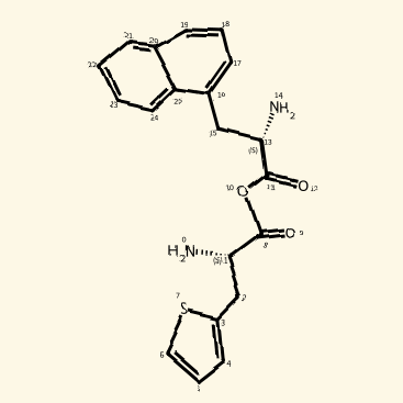 N[C@@H](Cc1cccs1)C(=O)OC(=O)[C@@H](N)Cc1cccc2ccccc12